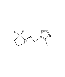 Cc1nccn1CC[C@H]1[CH]CCC1(F)F